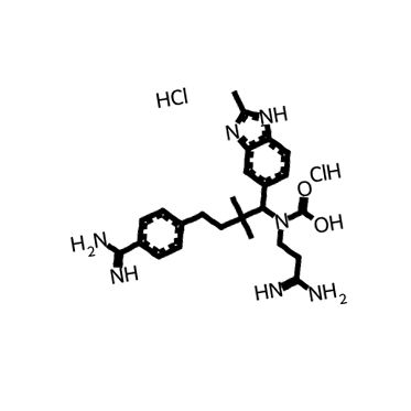 Cc1nc2cc(C(N(CCC(=N)N)C(=O)O)C(C)(C)CCc3ccc(C(=N)N)cc3)ccc2[nH]1.Cl.Cl